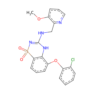 COc1cccnc1CNC1=NS(=O)(=O)c2cccc(Oc3ccccc3Cl)c2N1